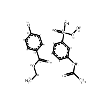 CC(=O)Nc1cccc([As](=O)(O)OO)c1.CCOC(=O)c1ccc(Cl)cc1